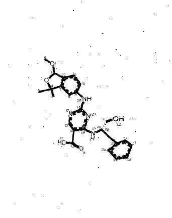 COC1OC(C)(C)c2cc(Nc3ncc(C(=O)O)c(N[C@H](CO)c4ccccc4)n3)ccc21